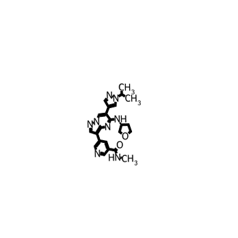 CNC(=O)c1cncc(-c2cnn3cc(-c4cnn(C(C)C)c4)c(N[C@H]4CCOC4)nc23)c1